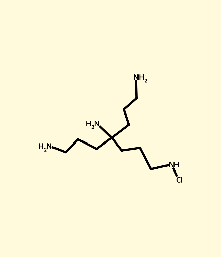 NCCCC(N)(CCCN)CCCNCl